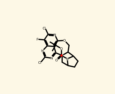 CC(C)(C)OC(=O)N1C2CCC1C1COc3nc(Cl)c(F)c4nc(Cl)nc(c34)N1C2